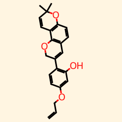 C=CCOc1ccc(C2=Cc3ccc4c(c3OC2)C=CC(C)(C)O4)c(O)c1